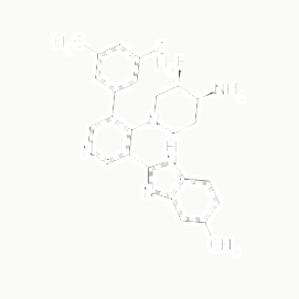 Cc1cc(C)cc(-c2cncc(-c3nc4cc(C)ccc4[nH]3)c2N2CC[C@H](N)[C@H](F)C2)c1